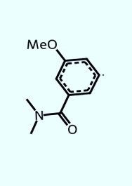 COc1c[c]cc(C(=O)N(C)C)c1